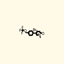 Cn1cc(-c2ccc(COC(F)(F)F)cc2)c(Br)cc1=O